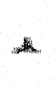 O=C(NCC(O)CO)c1c(I)c(CC(O)CO)c(I)c(C(=O)NCC(O)CO)c1I